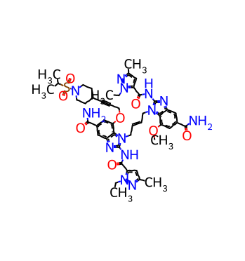 CCn1nc(C)cc1C(=O)Nc1nc2cc(C(N)=O)cc(OC)c2n1CC=CCn1c(NC(=O)c2cc(C)nn2CC)nc2cc(C(N)=O)cc(OCC#CC3CCN(S(=O)(=O)C(C)C)CC3)c21